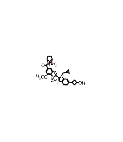 COc1cc(C(=O)N2CC3CCC2[C@@H]3N)cc2nc(-c3cc4ccc(C5CC(O)C5)cc4n3CC3CC3)n(C)c12